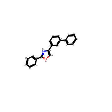 c1ccc(-c2cccc(-c3coc(-c4ccccc4)n3)c2)cc1